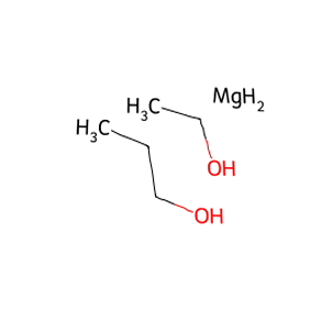 CCCO.CCO.[MgH2]